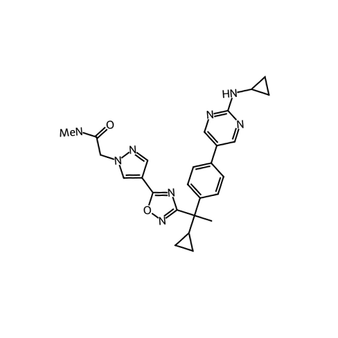 CNC(=O)Cn1cc(-c2nc(C(C)(c3ccc(-c4cnc(NC5CC5)nc4)cc3)C3CC3)no2)cn1